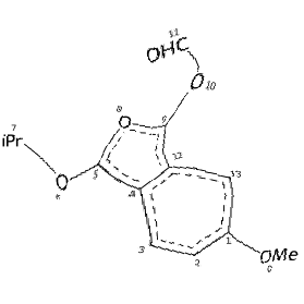 COc1ccc2c(OC(C)C)oc(OC=O)c2c1